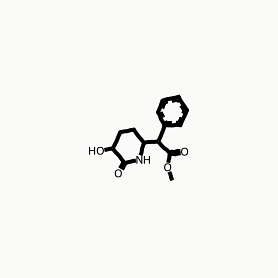 COC(=O)C(c1ccccc1)C1CCC(O)C(=O)N1